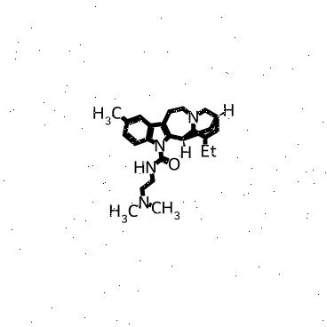 CCC1C[C@H]2C[C@H]3c4c(c5cc(C)ccc5n4C(=O)NCCN(C)C)CCN(C2)C13